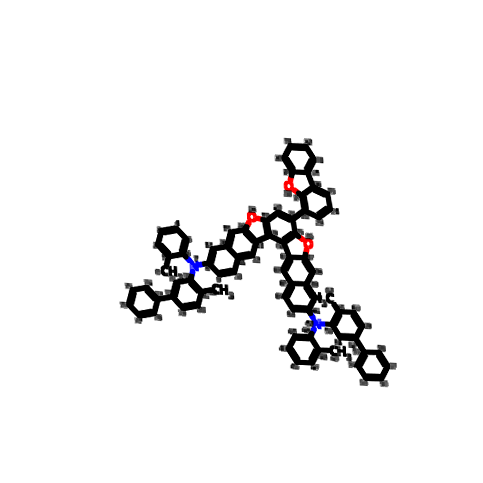 Cc1ccccc1N(c1ccc2cc3c(cc2c1)oc1cc(-c2cccc4c2oc2ccccc24)c2oc4cc5cc(N(c6ccccc6C)c6cc(-c7ccccc7)ccc6C)ccc5cc4c2c13)c1cc(-c2ccccc2)ccc1C